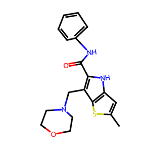 Cc1cc2[nH]c(C(=O)Nc3ccccc3)c(CN3CCOCC3)c2s1